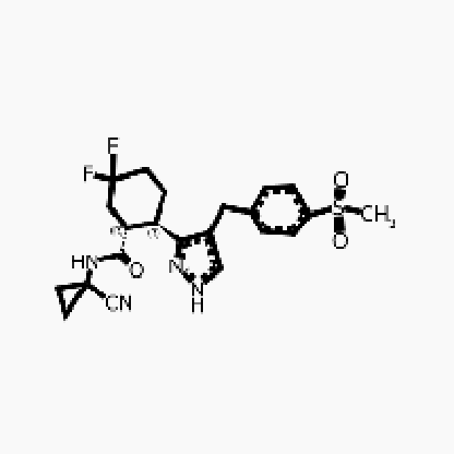 CS(=O)(=O)c1ccc(Cc2c[nH]nc2[C@@H]2CCC(F)(F)C[C@H]2C(=O)NC2(C#N)CC2)cc1